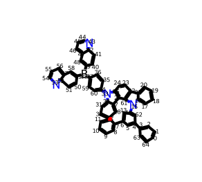 c1ccc(-c2cc(-c3ccccc3)cc(-n3c4ccccc4c4ccc5c(c6ccccc6n5-c5ccc(B(c6ccc7ncccc7c6)c6ccc7ncccc7c6)cc5)c43)c2)cc1